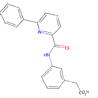 O=C(O)Cc1cccc(NC(=O)c2cccc(-c3ccccc3)n2)c1